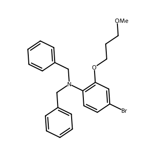 COCCCOc1cc(Br)ccc1N(Cc1ccccc1)Cc1ccccc1